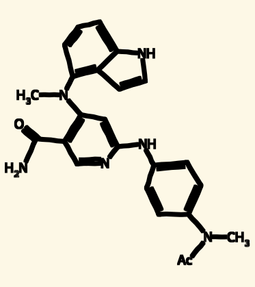 CC(=O)N(C)c1ccc(Nc2cc(N(C)c3cccc4[nH]ccc34)c(C(N)=O)cn2)cc1